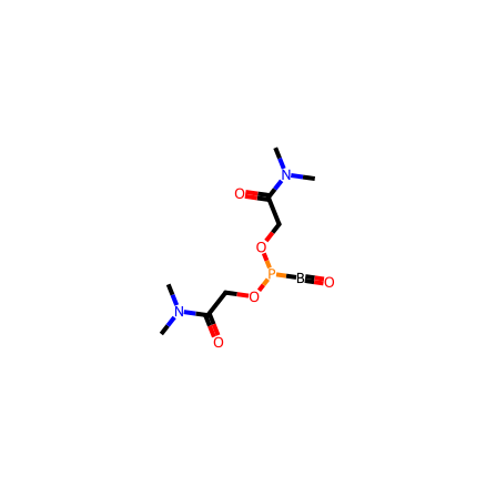 CN(C)C(=O)COP(B=O)OCC(=O)N(C)C